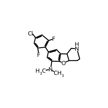 CN(C)c1cc(-c2c(F)cc(Cl)cc2F)cc2c1OC1CCNCC21